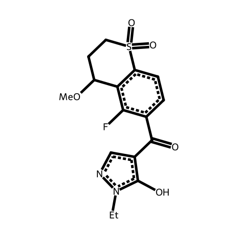 CCn1ncc(C(=O)c2ccc3c(c2F)C(OC)CCS3(=O)=O)c1O